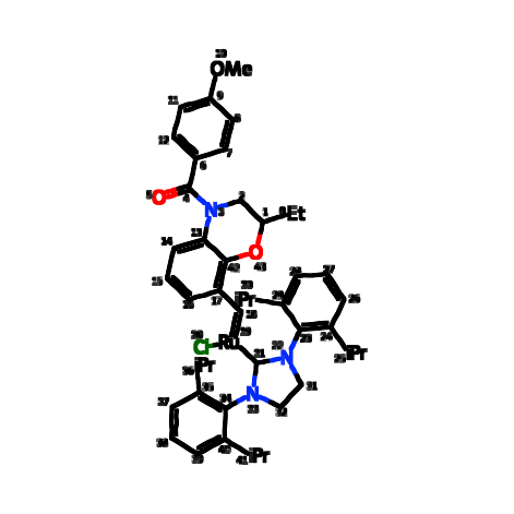 CCC1CN(C(=O)c2ccc(OC)cc2)c2cccc([CH]=[Ru]([Cl])[CH]3N(c4c(C(C)C)cccc4C(C)C)CCN3c3c(C(C)C)cccc3C(C)C)c2O1